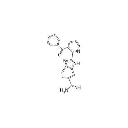 N=C(N)c1ccc2nc(-c3ncccc3C(=O)c3ccccc3)[nH]c2c1